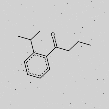 CCCC(=O)c1ccccc1C(C)C